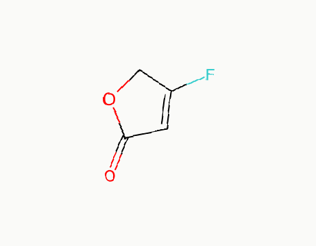 O=C1C=C(F)CO1